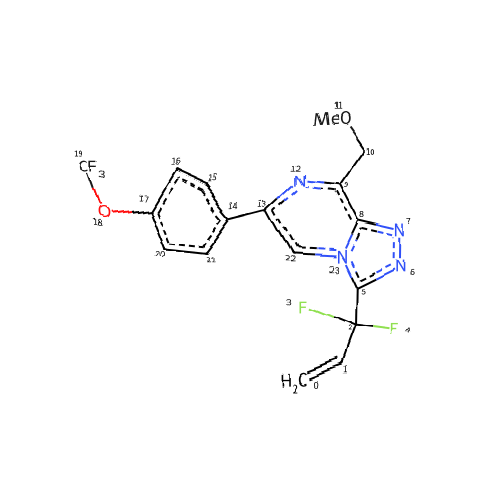 C=CC(F)(F)c1nnc2c(COC)nc(-c3ccc(OC(F)(F)F)cc3)cn12